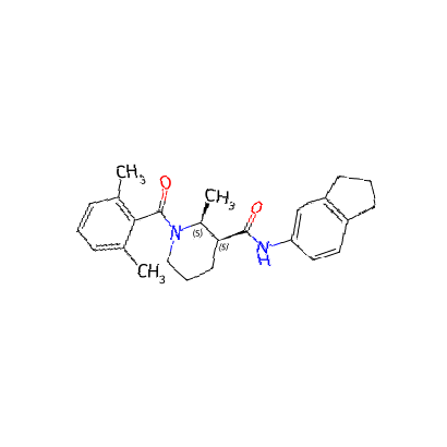 Cc1cccc(C)c1C(=O)N1CCC[C@H](C(=O)Nc2ccc3c(c2)CCC3)[C@@H]1C